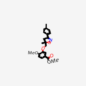 COC(=O)c1ccc(OC)c(OCC2(C)CC(c3ccc(C)cc3)=NO2)c1